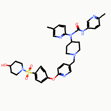 Cc1ccc(N(C(=O)Nc2ccc(C)nc2)C2CCN(Cc3ccc(Oc4ccc(S(=O)(=O)N5CCC(O)CC5)cc4)nc3)CC2)nc1